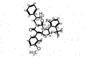 COc1cccc(-c2c3n(c(=O)n(CC(N)c4ccccc4)c2=O)C(c2c(F)cccc2C(F)(F)F)CS3)c1F